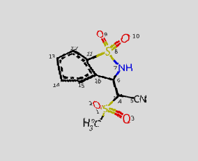 CS(=O)(=O)[C](C#N)C1NS(=O)(=O)c2ccccc21